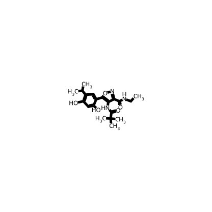 CCNC(=O)c1noc(-c2cc(C(C)C)c(O)cc2O)c1NC(=O)C(C)(C)C